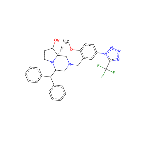 COc1ccc(-n2nnnc2C(F)(F)F)cc1CN1CC(C(c2ccccc2)c2ccccc2)N2CCC(O)[C@H]2C1